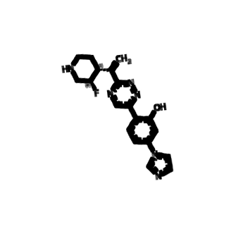 C=C(c1ncc(-c2ccc(-n3ccnc3)cc2O)nn1)[C@H]1CCNC[C@@H]1F